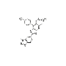 Cc1cc2nc(-c3ccc4c(C)nn(C)c4c3)sc2c(-c2ccc(Cl)cc2)c1CC(=O)O